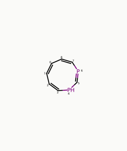 c1ccc[pH]cpcc1